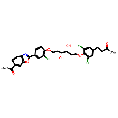 COC(=O)CCc1cc(Cl)c(OCC[C@@H](O)[C@H](O)CCOc2ccc(-c3nc4ccc(C(=O)OC)cc4o3)cc2Cl)c(Cl)c1